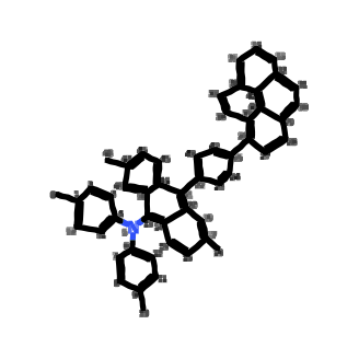 Cc1ccc(N(c2ccc(C)cc2)c2c3ccc(C)cc3c(-c3ccc(-c4ccc5ccc6cccc7ccc4c5c67)cc3)c3ccc(C)cc23)cc1